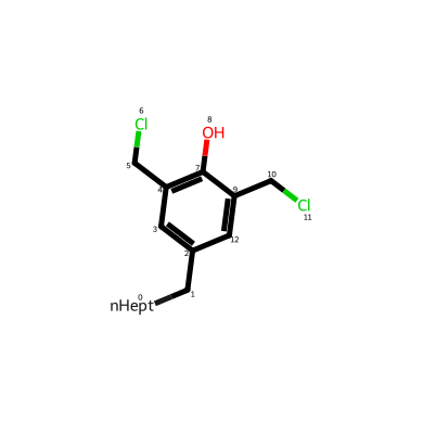 CCCCCCCCc1cc(CCl)c(O)c(CCl)c1